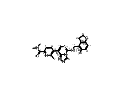 Cc1nc(C(=O)N(C)C)ccc1-c1cnc(NCc2c(F)ccc3c2CCO3)n2cnnc12